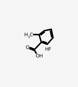 Cc1ccccc1C(=O)O.F